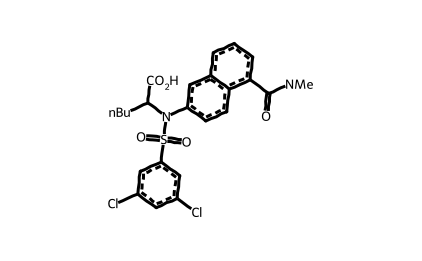 CCCCC(C(=O)O)N(c1ccc2c(C(=O)NC)cccc2c1)S(=O)(=O)c1cc(Cl)cc(Cl)c1